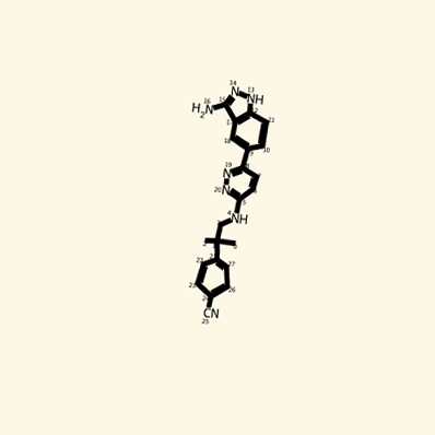 CC(C)(CNc1ccc(-c2ccc3[nH]nc(N)c3c2)nn1)c1ccc(C#N)cc1